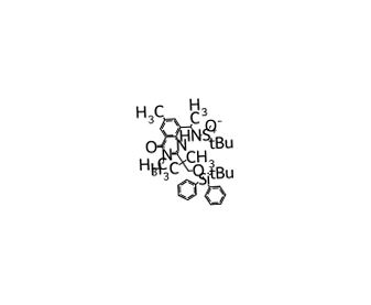 Cc1cc([C@@H](C)N[S+]([O-])C(C)(C)C)c2nc(C(C)(C)CO[Si](c3ccccc3)(c3ccccc3)C(C)(C)C)n(C)c(=O)c2c1